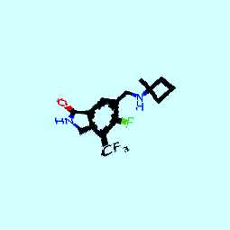 CC1(NCc2cc3c(c(C(F)(F)F)c2F)CNC3=O)CCC1